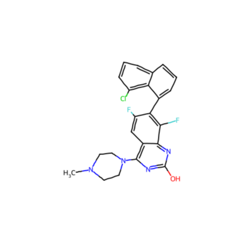 CN1CCN(c2nc(O)nc3c(F)c(-c4cccc5cccc(Cl)c45)c(F)cc23)CC1